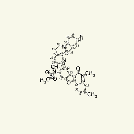 CNC(=O)c1c(-c2ccc(C)cc2)oc2cc(N(C)S(C)(=O)=O)c(-c3ccc4c(n3)-c3cc5cc(F)ccc5n3CC4)cc12